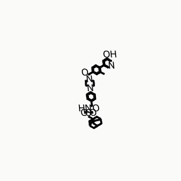 Cc1cc(C(=O)N2CCN(c3ccc(C(=O)NS(=O)(=O)CC45CC6CC(CC(C6)C4)C5)cc3)CC2)ccc1-c1cncc(O)c1